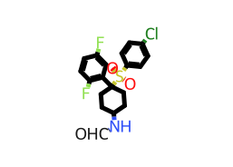 O=CNC1CCC(c2cc(F)ccc2F)(S(=O)(=O)c2ccc(Cl)cc2)CC1